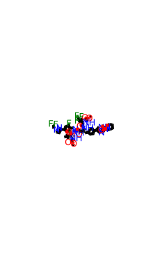 COC(=O)NC(C(=O)N[C@@H](Cc1ccc(-c2cnc(N3CC4CCC(C3)N4C3COC3)nc2)cc1)[C@@H](O)CN(Cc1c(F)cc(-c2ccn(CC(F)F)n2)cc1F)NC(=O)[C@@H](NC(=O)OC)C(C)(C)C)C(C)(C)C(F)(F)F